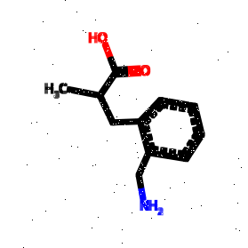 CC(Cc1ccccc1CN)C(=O)O